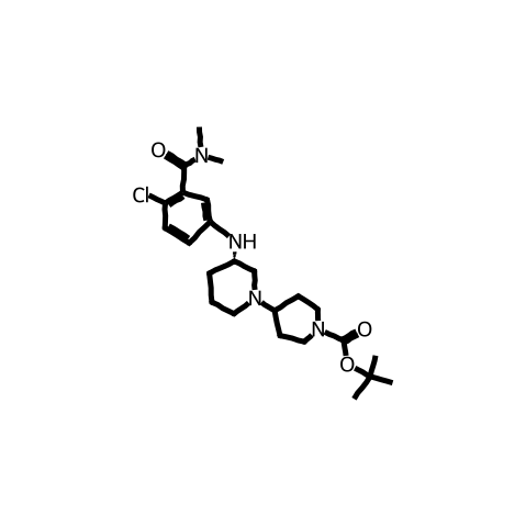 CN(C)C(=O)c1cc(N[C@H]2CCCN(C3CCN(C(=O)OC(C)(C)C)CC3)C2)ccc1Cl